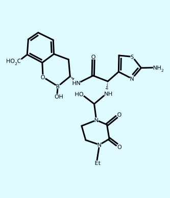 CCN1CCN(C(O)N[C@H](C(=O)N[C@H]2Cc3cccc(C(=O)O)c3OB2O)c2csc(N)n2)C(=O)C1=O